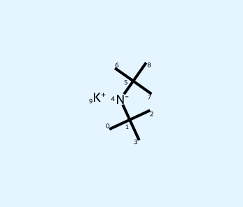 CC(C)(C)[N-]C(C)(C)C.[K+]